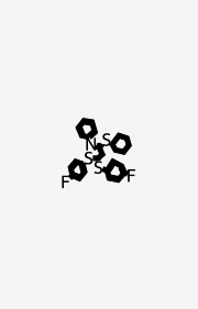 Fc1ccc(SC(CC(=Nc2ccccc2)SC2CCCCC2)Sc2ccc(F)cc2)cc1